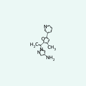 C=C(c1oc(-c2cccnc2)cc1C)n1cc(N)cn1